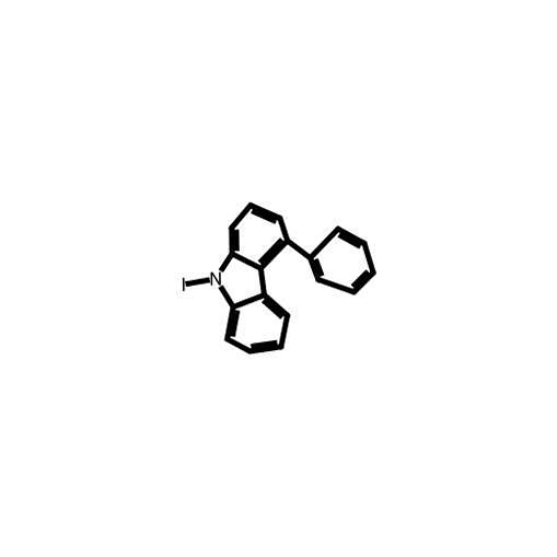 In1c2ccccc2c2c(-c3ccccc3)cccc21